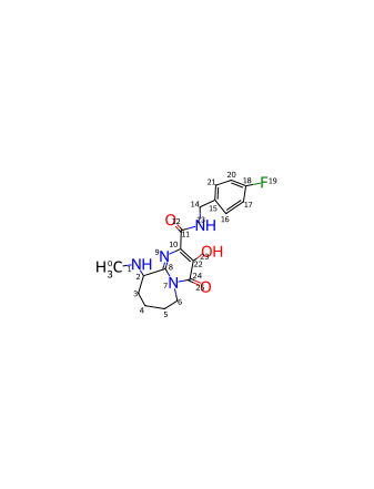 CNC1CCCCn2c1nc(C(=O)NCc1ccc(F)cc1)c(O)c2=O